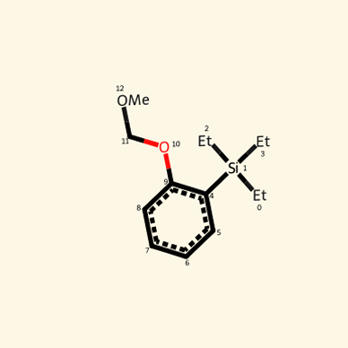 CC[Si](CC)(CC)c1ccccc1OCOC